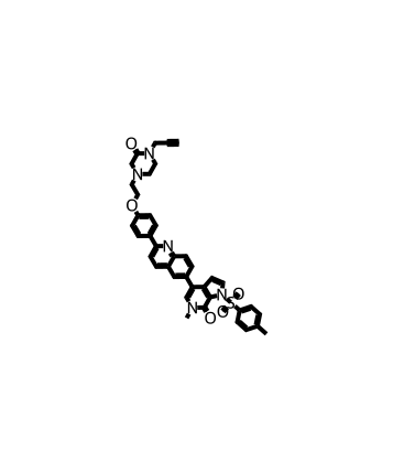 C#CCN1CCN(CCOc2ccc(-c3ccc4cc(-c5cn(C)c(=O)c6c5ccn6S(=O)(=O)c5ccc(C)cc5)ccc4n3)cc2)CC1=O